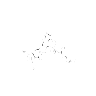 COCc1c(C(O)C=O)cc2n(c1=O)Cc1c-2nc2cc(F)c(C)c3c2c1C(NC(=O)CCCN)CS3